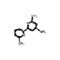 Cc1cccc(-c2cc(N)cc(C)n2)n1